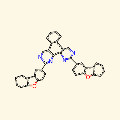 c1ccc2c(c1)oc1ccc(-c3ncc4c5ccccc5c5cnc(-c6ccc7oc8ccccc8c7c6)nc5c4n3)cc12